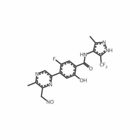 Cc1ncc(-c2cc(O)c(C(=O)Nc3c(C)n[nH]c3C(F)(F)F)cc2F)nc1CN=O